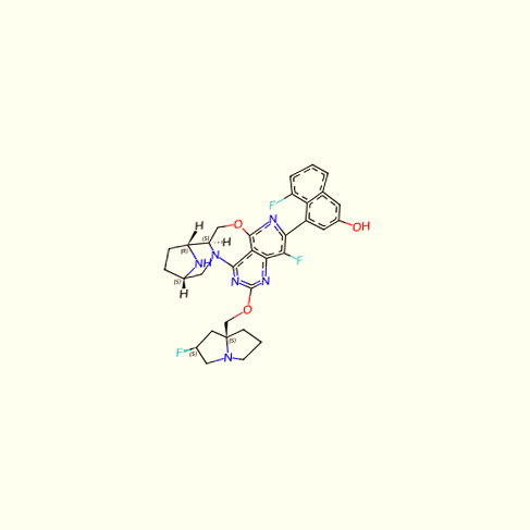 Oc1cc(-c2nc3c4c(nc(OC[C@@]56CCCN5C[C@@H](F)C6)nc4c2F)N2C[C@@H]4CC[C@@H](N4)[C@H]2CO3)c2c(F)cccc2c1